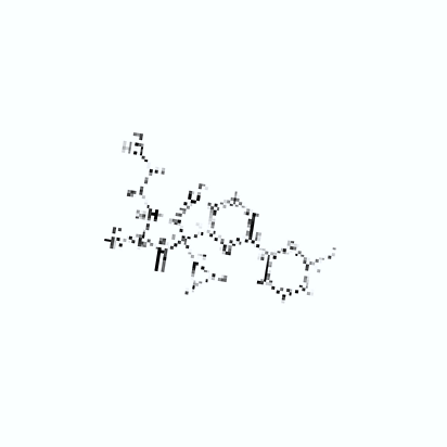 Cc1cccc(-c2cccc(C3(C4CC4)NC(=N)N(CCO)C3=O)c2)c1